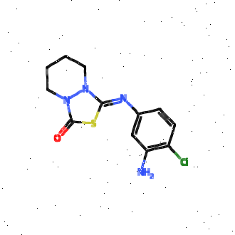 Nc1cc(/N=c2\sc(=O)n3n2CCCC3)ccc1Cl